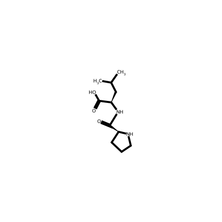 CC(C)C[C@@H](NC(=O)[C@@H]1CCCN1)C(=O)O